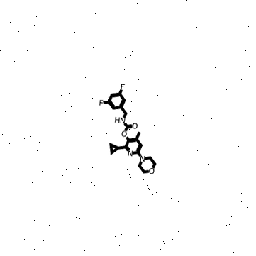 Cc1cc(N2CCOCC2)nc(C2CC2)c1OC(=O)NCc1cc(F)cc(F)c1